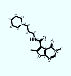 Cc1oc2ncn(C)c(=O)c2c1C(=O)NCCCN1CCCCC1